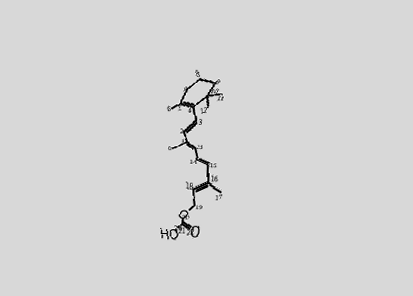 CC(C=CC1=C(C)CCCC1(C)C)=CC=CC(C)=CCOC(=O)O